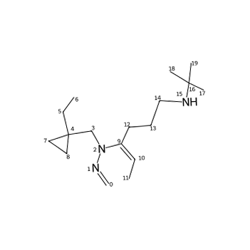 C=NN(CC1(CC)CC1)/C(=C\C)CCCNC(C)(C)C